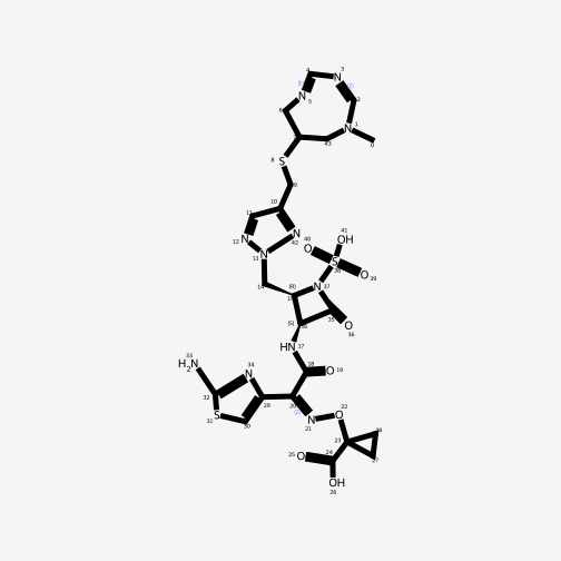 CN1/C=N\C=N\CC(SCc2cnn(C[C@@H]3[C@H](NC(=O)/C(=N\OC4(C(=O)O)CC4)c4csc(N)n4)C(=O)N3S(=O)(=O)O)n2)C1